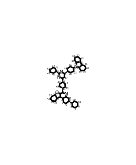 c1ccc(-c2ccc3c(c2)nc(-c2ccc(-c4cc(-c5ccc(-n6c7ccccc7c7ccccc76)cc5)nc(-c5ccccc5)n4)cc2)c2oc4ccccc4c23)cc1